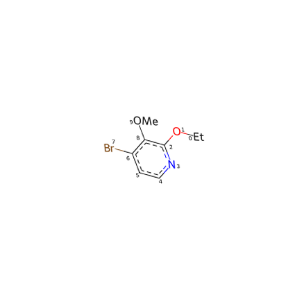 CCOc1nccc(Br)c1OC